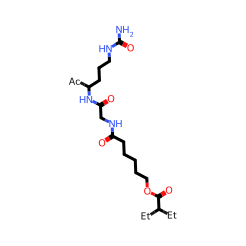 CCC(CC)C(=O)OCCCCCC(=O)NCC(=O)NC(CCCNC(N)=O)C(C)=O